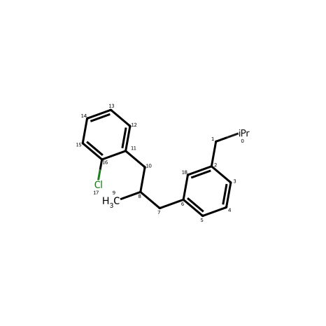 CC(C)Cc1cccc(CC(C)Cc2ccccc2Cl)c1